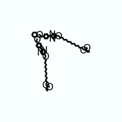 C=CC(=O)OCCCCCCCCCCCCOc1cnc(-c2ccc(CO[C@@H]3CCCC[C@H]3OCc3ccc(-c4ncc(OCCCCCCCCCCCCOC(=O)C=C)cn4)cc3)cc2)nc1